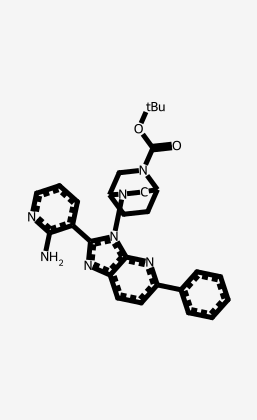 CC(C)(C)OC(=O)N1CC2CCC1CN2n1c(-c2cccnc2N)nc2ccc(-c3ccccc3)nc21